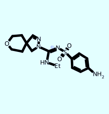 CCN/C(=N\S(=O)(=O)c1ccc(N)cc1)N1CC2(C=N1)CCOCC2